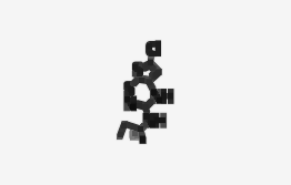 CC[C@H](C)NC1=NSc2sc(Cl)cc2N1